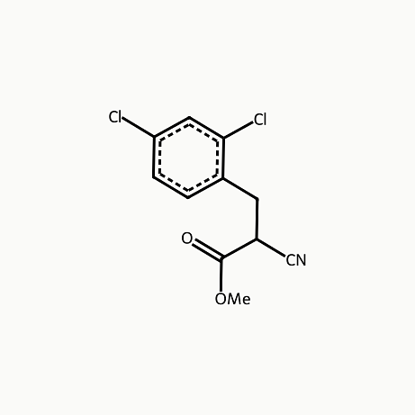 COC(=O)C(C#N)Cc1ccc(Cl)cc1Cl